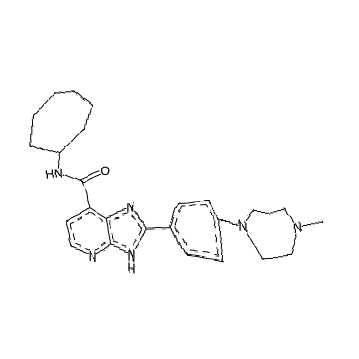 CN1CCN(c2ccc(-c3nc4c(C(=O)NC5CCCCCC5)ccnc4[nH]3)cc2)CC1